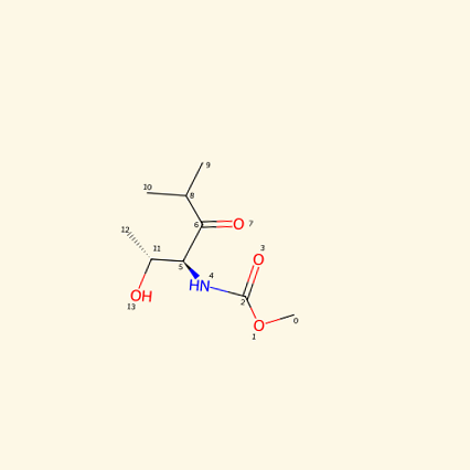 COC(=O)N[C@H](C(=O)C(C)C)[C@@H](C)O